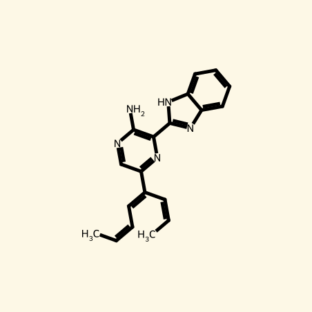 C\C=C/C=C(\C=C/C)c1cnc(N)c(-c2nc3ccccc3[nH]2)n1